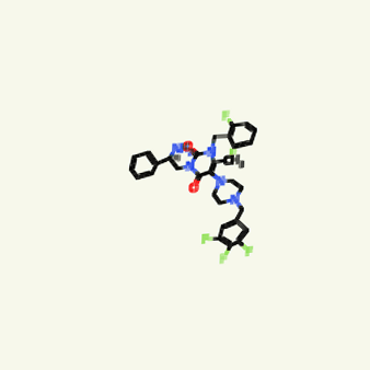 Cc1c(N2CCN(Cc3cc(F)c(F)c(F)c3)CC2)c(=O)n(C[C@H](N)c2ccccc2)c(=O)n1Cc1c(F)cccc1F